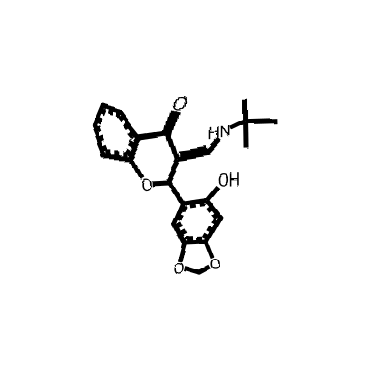 CC(C)(C)N/C=C1\C(=O)c2ccccc2OC1c1cc2c(cc1O)OCO2